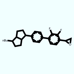 CCCCC1CCC2C(c3ccc(-c4ccc(C5CO5)c(F)c4F)cc3)CCC12